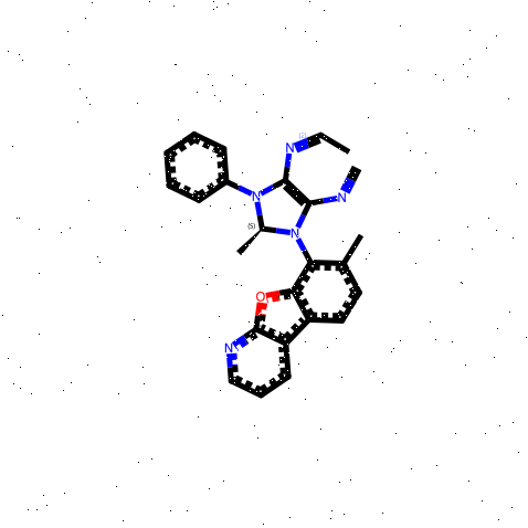 C=NC1=C(/N=C\C)N(c2ccccc2)[C@H](C)N1c1c(C)ccc2c1oc1ncccc12